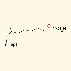 CCCCCCCCC(C)CCCCCOS(=O)(=O)O